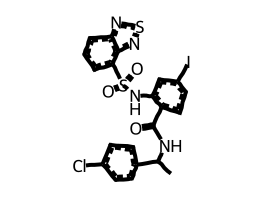 CC(NC(=O)c1ccc(I)cc1NS(=O)(=O)c1cccc2nsnc12)c1ccc(Cl)cc1